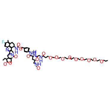 CCCOCCOCCOCCOCCOCCOCCOCCOCCOCCC(=O)NCC(=O)NC(CCCNC=O)C(=O)Nc1ccc(COC(=O)NC2CCc3c(C)c(F)cc4nc5c(c2c34)CN(C=O)/C5=C\C2=C(C)COC(=O)C2CC)cc1